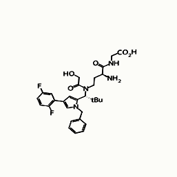 CC(C)(C)[C@H](c1cc(-c2cc(F)ccc2F)cn1Cc1ccccc1)N(CC[C@H](N)C(=O)NCC(=O)O)C(=O)CO